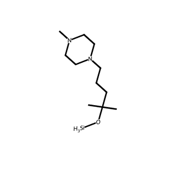 CN1CCN(CCCC(C)(C)O[SiH3])CC1